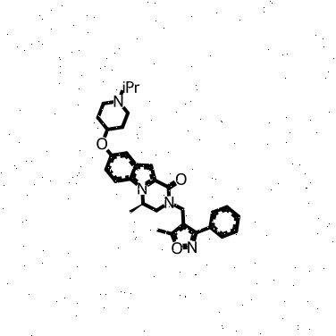 Cc1onc(-c2ccccc2)c1CN1C[C@@H](C)n2c(cc3cc(OC4CCN(C(C)C)CC4)ccc32)C1=O